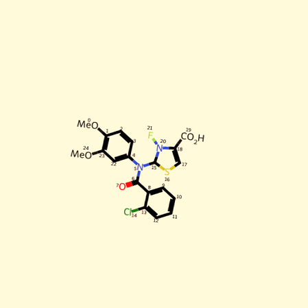 COc1ccc(N(C(=O)c2ccccc2Cl)C2SC=C(C(=O)O)N2F)cc1OC